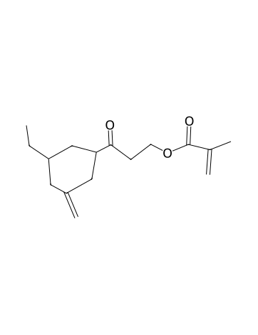 C=C1CC(CC)CC(C(=O)CCOC(=O)C(=C)C)C1